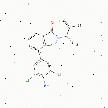 C=C(C#N)C(C)N1Cc2c(cccc2-c2cc(Cl)c(N)c(Cl)c2)C1=O